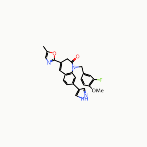 COc1ccc(CN2C(=O)CC(c3ncc(C)o3)=Cc3ccc(-c4cn[nH]c4)cc32)cc1F